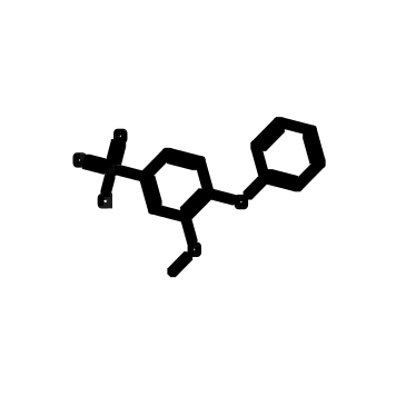 COc1cc(S(=O)(=O)Cl)ccc1Oc1ccccc1